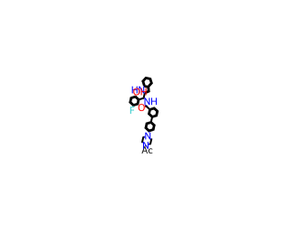 CC(=O)N1CCN(c2ccc(-c3cccc(C(=O)NC(c4cc5ccccc5[nH]4)c4cc(F)ccc4O)c3)cc2)CC1